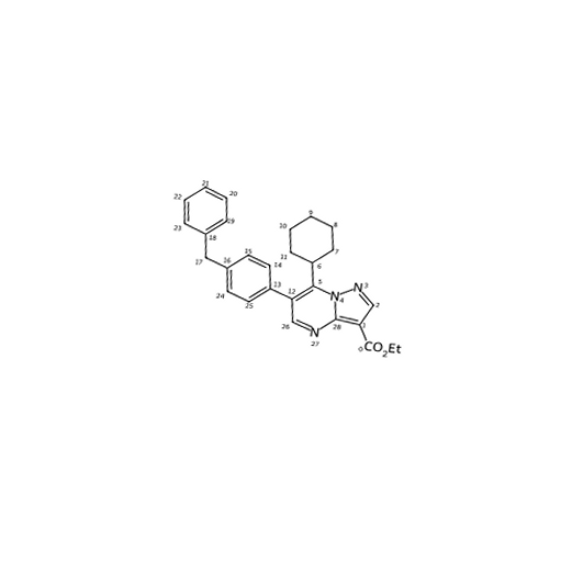 CCOC(=O)c1cnn2c(C3CCCCC3)c(-c3ccc(Cc4ccccc4)cc3)cnc12